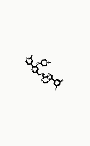 Cc1cc(-c2ncc(CNc3nccn4c(-c5cc(F)cc(F)c5)cnc34)cc2OC2CCN(C)CC2)ccn1